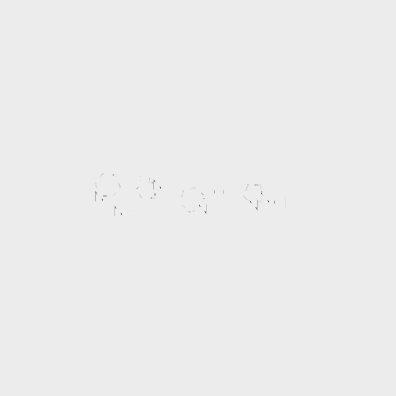 Cn1ccc(COc2ccc(Cc3cc(-c4cccnc4N)on3)cn2)n1